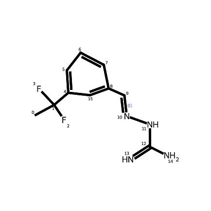 CC(F)(F)c1cccc(/C=N/NC(=N)N)c1